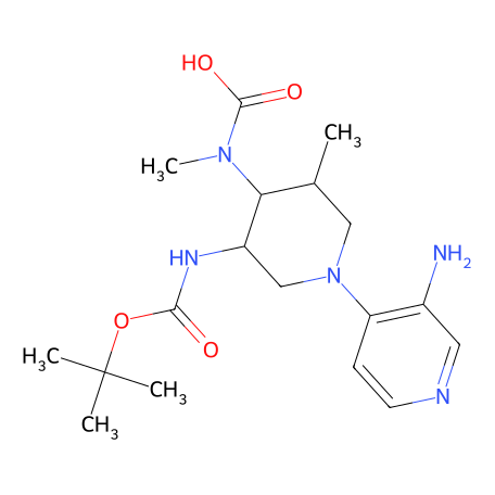 CC1CN(c2ccncc2N)CC(NC(=O)OC(C)(C)C)C1N(C)C(=O)O